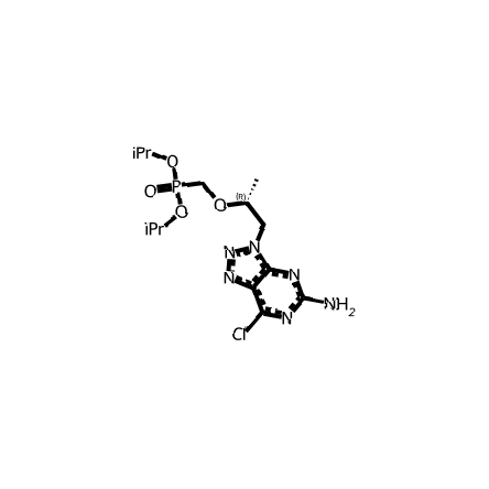 CC(C)OP(=O)(CO[C@H](C)Cn1nnc2c(Cl)nc(N)nc21)OC(C)C